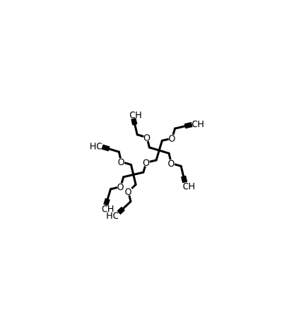 C#CCOCC(COCC#C)(COCC#C)COCC(COCC#C)(COCC#C)COCC#C